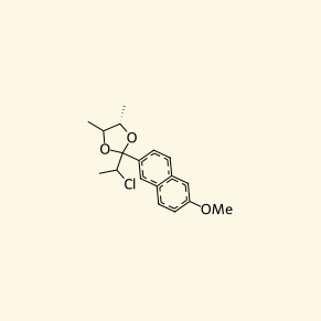 COc1ccc2cc(C3(C(C)Cl)OC(C)[C@H](C)O3)ccc2c1